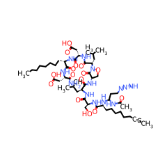 CCCCCCCCC[C@H](NC(CCN=[N+]=N)NC(C)=O)C(=O)N[C@@H](CO)C(=O)N[C@@H](CC(C)C)C(=O)N[C@H]1CON([C@@H](CC(C)C)C(=O)N[C@@H](CC(=O)O)C(=O)N[C@@H](CCCCCCCC)C(=O)N[C@@H](CC(=O)O)C(N)=O)C1=O